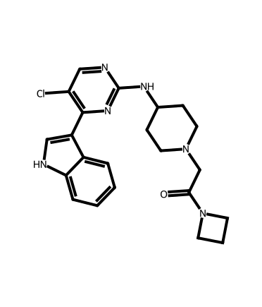 O=C(CN1CCC(Nc2ncc(Cl)c(-c3c[nH]c4ccccc34)n2)CC1)N1CCC1